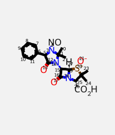 CC1(C)N(N=O)C(c2ccccc2)C(=O)N1[C@@H]1C(=O)N2[C@@H]1[S+]([O-])C(C)(C)[C@@H]2C(=O)O